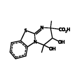 CC1(C(=O)O)N=C2Sc3ccccc3N2C(C)(O)C1O